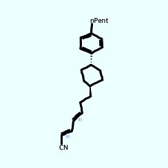 CCCCCc1ccc([C@H]2CC[C@H](CC/C=C/C=C/C#N)CC2)cc1